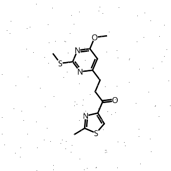 COc1cc(CCC(=O)c2csc(C)n2)nc(SC)n1